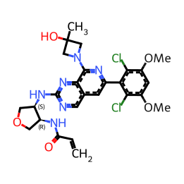 C=CC(=O)N[C@H]1COC[C@H]1Nc1ncc2cc(-c3c(Cl)c(OC)cc(OC)c3Cl)nc(N3CC(C)(O)C3)c2n1